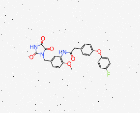 COc1ccc(CN2C(=O)NC(=O)C2=O)cc1NC(=O)Cc1ccc(Oc2ccc(F)cc2)cc1